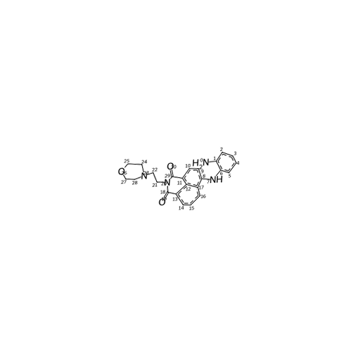 Nc1ccccc1Nc1ccc2c3c(cccc13)C(=O)N(CCN1CCOCC1)C2=O